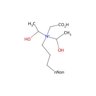 CCCCCCCCCCCC[N+](CC(=O)O)(C(C)O)C(C)O